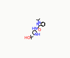 CC(C)n1nc(C(=O)N[C@H]2CC[C@@H](CC(C)(C)O)NC2)c2ccccc21